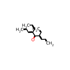 C=C/C=C(\C=C)C(=O)C(/C=C\C)=C/C=C